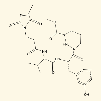 COC(=O)C1CCCN(C(=O)[C@H](Cc2cccc(O)c2)NC(=O)[C@@H](NC(=O)CCN2C(=O)C=C(C)C2=O)C(C)C)N1